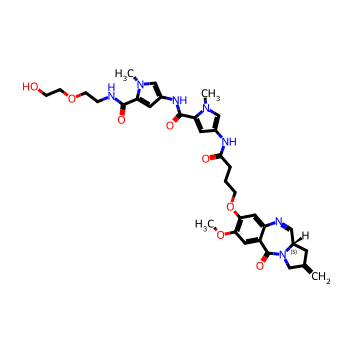 C=C1C[C@H]2C=Nc3cc(OCCCC(=O)Nc4cc(C(=O)Nc5cc(C(=O)NCCOCCO)n(C)c5)n(C)c4)c(OC)cc3C(=O)N2C1